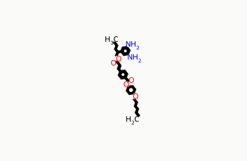 C=CCCCCCOC1CCC(OC(=O)c2ccc(/C=C/C(=O)OCC(CCCC)c3cc(N)cc(N)c3)cc2)CC1